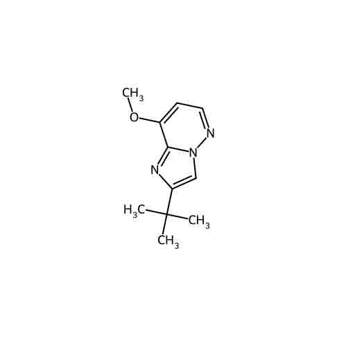 COc1ccnn2cc(C(C)(C)C)nc12